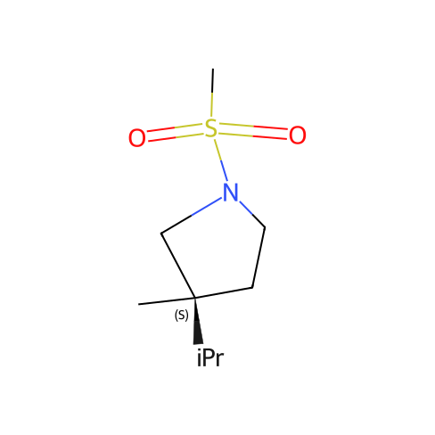 CC(C)[C@]1(C)CCN(S(C)(=O)=O)C1